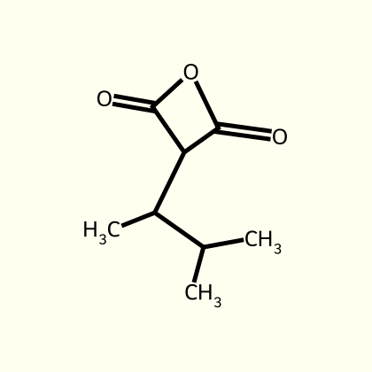 CC(C)C(C)C1C(=O)OC1=O